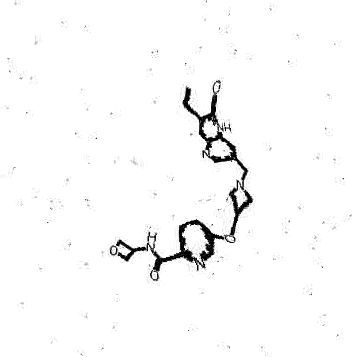 CCc1cc2ncc(CN3CC(Oc4ccc(C(=O)NC5COC5)nc4)C3)cc2[nH]c1=O